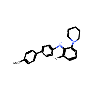 COc1ccc(-c2ccc(Nc3c(C)cccc3N3CCCCC3)cc2)cc1